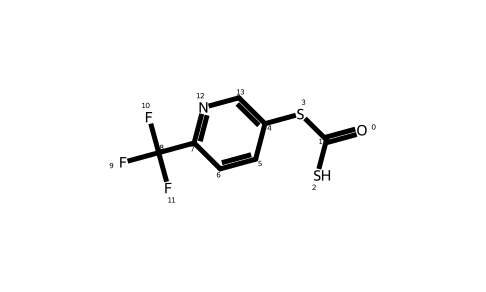 O=C(S)Sc1ccc(C(F)(F)F)nc1